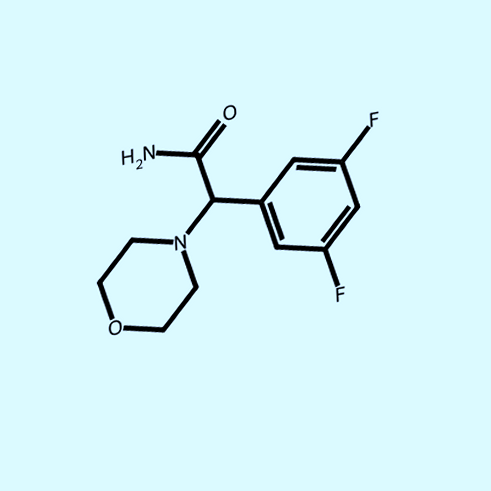 NC(=O)C(c1cc(F)cc(F)c1)N1CCOCC1